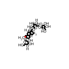 C=C1C[C@@]23CC[C@H]4[C@@](C)(CCC[C@@]4(C)C(=O)O[C@@H]4OC(CO[C@H]5OC(CO)[C@@H](O)C(O)C5O)[C@@H](O)C(O)C4O)[C@@H]2CC[C@]1(O[C@@H]1OC(CO)[C@@H](O)C(O)C1O)C3